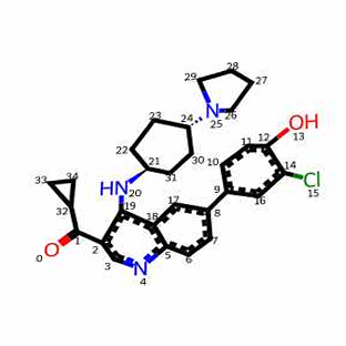 O=C(c1cnc2ccc(-c3ccc(O)c(Cl)c3)cc2c1N[C@H]1CC[C@H](N2CCCC2)CC1)C1CC1